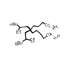 CCCCC(CC)CC(CCCC(=O)O)(CCCC(=O)O)CC(CC)CCCC